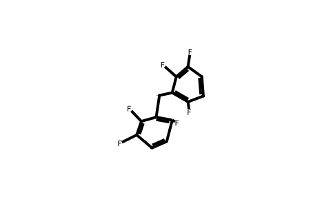 Fc1ccc(F)c([CH]c2c(F)ccc(F)c2F)c1F